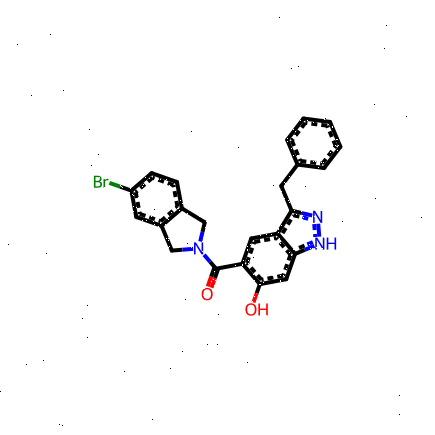 O=C(c1cc2c(Cc3ccccc3)n[nH]c2cc1O)N1Cc2ccc(Br)cc2C1